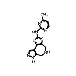 Cc1ccnc(Nc2nc3c(s2)CNCc2[nH]ncc2-3)n1